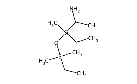 CC[Si](C)(C)O[Si](C)(CC)C(C)N